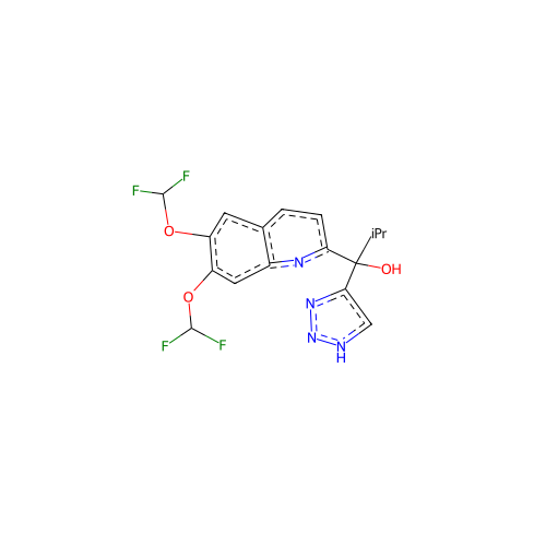 CC(C)C(O)(c1c[nH]nn1)c1ccc2cc(OC(F)F)c(OC(F)F)cc2n1